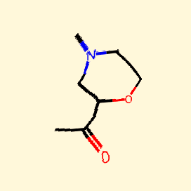 CC(=O)C1CN(C)CCO1